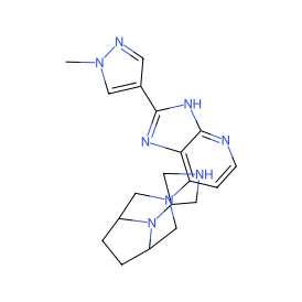 Cn1cc(-c2nc3c(N4CC5CCC(C4)N5C4CNC4)ccnc3[nH]2)cn1